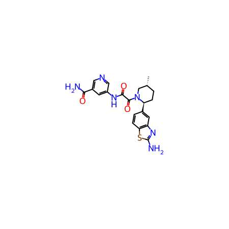 C[C@@H]1CC[C@@H](c2ccc3sc(N)nc3c2)N(C(=O)C(=O)Nc2cncc(C(N)=O)c2)C1